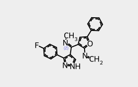 C=Nc1oc(-c2ccccc2)cc1/C(=N\C)c1c[nH]nc1-c1ccc(F)cc1